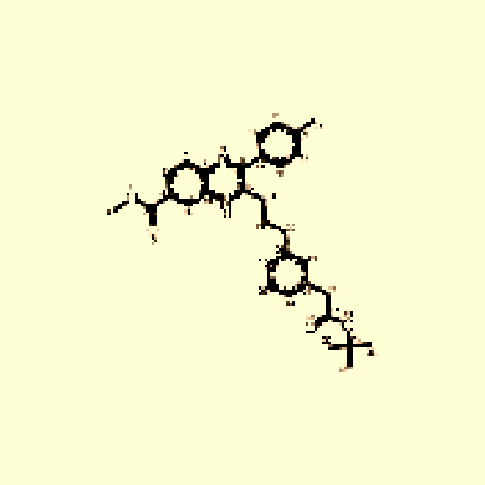 COC(=O)c1ccc2nc(-c3ccc(C)cc3)c(CCCc3cccc(CC(=O)OC(C)(C)C)c3)nc2c1